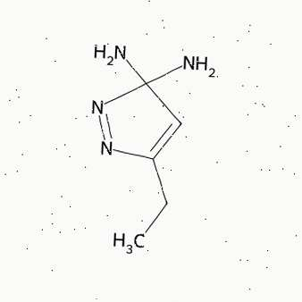 CCC1=CC(N)(N)N=N1